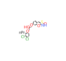 CCCc1c(OCC(O)COc2ccc(C=C3SC(=O)NC3=O)cc2)ccc(Cl)c1Cl